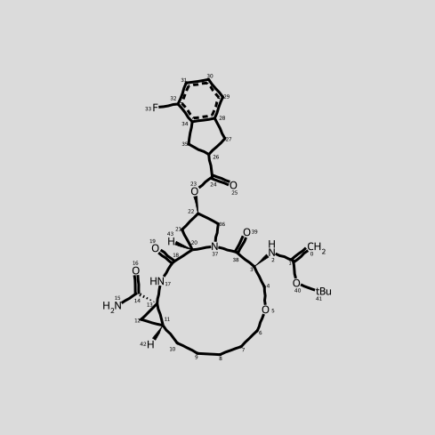 C=C(N[C@H]1COCCCCC[C@@H]2C[C@@]2(C(N)=O)NC(=O)[C@@H]2C[C@@H](OC(=O)C3Cc4cccc(F)c4C3)CN2C1=O)OC(C)(C)C